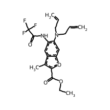 C=CCN(CC=C)c1cc2oc(C(=O)OCC)c(C)c2cc1NC(=O)C(F)(F)F